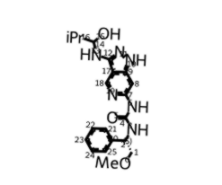 COC[C@@H](NC(=O)Nc1cc2[nH]nc(NC(O)C(C)C)c2cn1)c1ccccc1